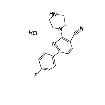 Cl.N#Cc1ccc(-c2ccc(F)cc2)nc1N1CCNCC1